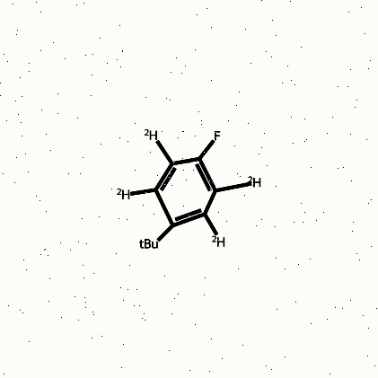 [2H]c1c([2H])c(C(C)(C)C)c([2H])c([2H])c1F